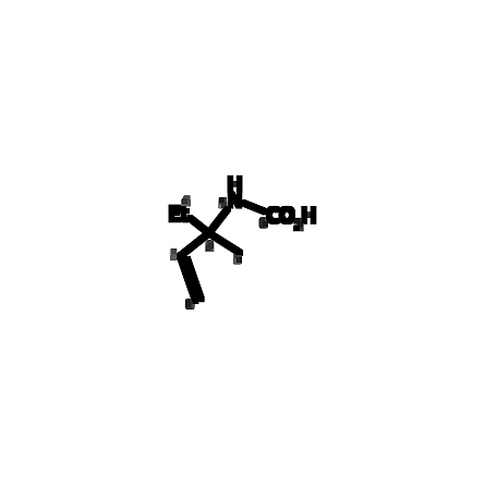 C=CC(C)(CC)NC(=O)O